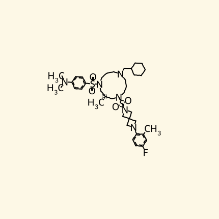 Cc1cc(F)ccc1N1CC2(C1)CN(S(=O)(=O)N1CCCN(CC3CCCCC3)CCCN(S(=O)(=O)c3ccc(N(C)C)cc3)C[C@H](C)C1)C2